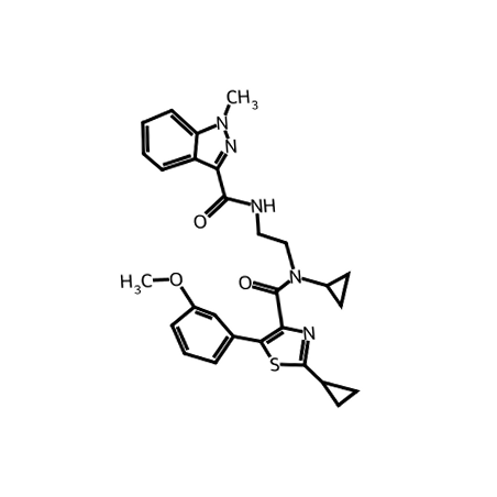 COc1cccc(-c2sc(C3CC3)nc2C(=O)N(CCNC(=O)c2nn(C)c3ccccc23)C2CC2)c1